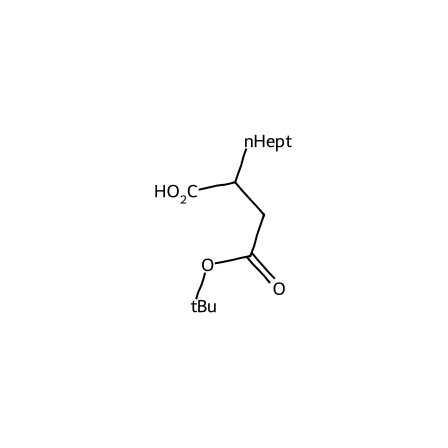 CCCCCCCC(CC(=O)OC(C)(C)C)C(=O)O